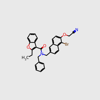 CCc1oc2ccccc2c1C(=O)N(Cc1ccccc1)Cc1ccc2c(Br)c(OCC#N)ccc2c1